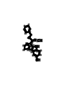 Cl.O=C(OCc1ccccc1)C1c2[nH]c3ccc(O)cc3c2C2CCN1C2